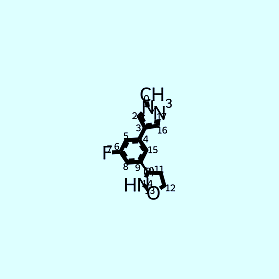 Cn1cc(-c2cc(F)cc([C@H]3CCON3)c2)cn1